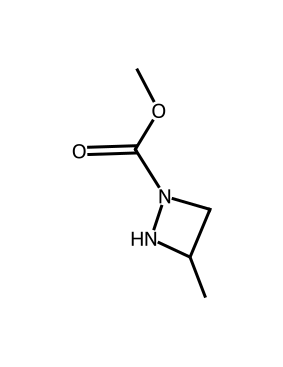 COC(=O)N1CC(C)N1